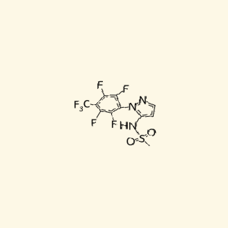 CS(=O)(=O)Nc1ccnn1-c1c(F)c(F)c(C(F)(F)F)c(F)c1F